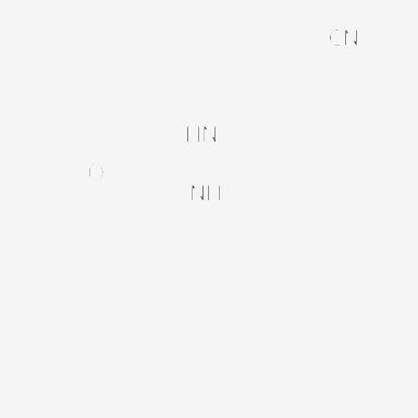 N#CCCNNC(=O)c1ccccc1